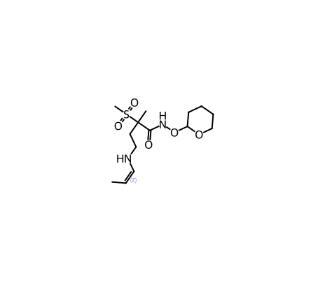 C/C=C\NCCC(C)(C(=O)NOC1CCCCO1)S(C)(=O)=O